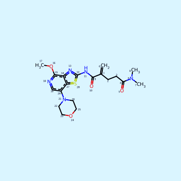 C=C(CCC(=O)N(C)C)C(=O)Nc1nc2c(OC)ncc(N3CCOCC3)c2s1